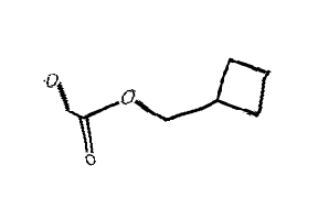 [O]C(=O)OCC1CCC1